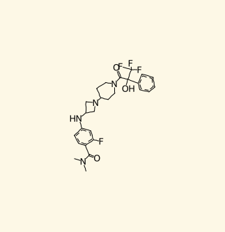 CN(C)C(=O)c1ccc(NC2CN(C3CCN(C(=O)C(O)(c4ccccc4)C(F)(F)F)CC3)C2)cc1F